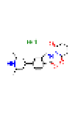 CC1CC(c2ccc3c(c2)CN(N2C(=O)CCCC2=O)C3=O)CC(C)N1.Cl